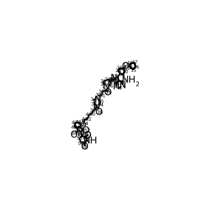 Nc1ncnc2c1c(-c1ccc(Oc3ccccc3)cc1)nn2[C@@H]1CCCN(C(=O)CCCN2CCN(C(=O)CCCCCSc3cccc4c3C(=O)N(C3CCC(=O)NC3=O)C4=O)CC2)C1